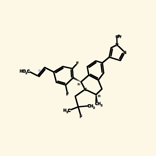 CCCn1cc(-c2ccc3c(c2)C[C@@H](C)N(CC(C)(C)F)[C@@H]3c2c(F)cc(/C=C/C(=O)O)cc2F)cn1